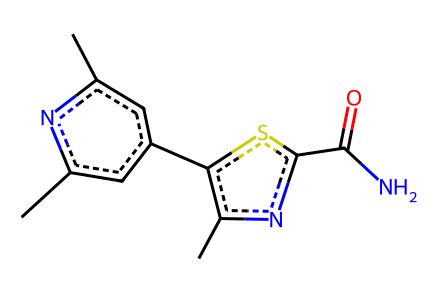 Cc1cc(-c2sc(C(N)=O)nc2C)cc(C)n1